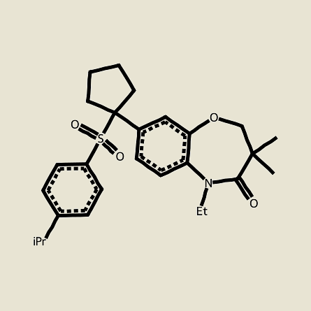 CCN1C(=O)C(C)(C)COc2cc(C3(S(=O)(=O)c4ccc(C(C)C)cc4)CCCC3)ccc21